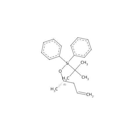 C=CC[C@H](C)O[Si](c1ccccc1)(c1ccccc1)C(C)(C)C